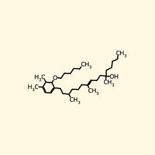 CCCCCCOC1C(CCC(C)CCC/C(C)=C/CCC(C)(O)CCCCC)=CC=C(C)C1C